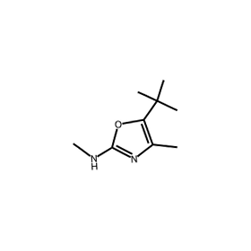 CNc1nc(C)c(C(C)(C)C)o1